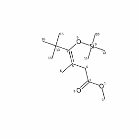 COC(=O)C/C(C)=C(\O[Si](C)(C)C)C(C)(C)C